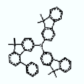 CC1(C)c2ccccc2-c2cc(N(c3ccc4c(c3)-c3c(-c5ccccc5)cccc3C4(C)C)c3ccc4c(c3)C(C)(C)c3ccccc3-4)ccc21